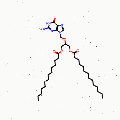 CCCCCCCCCCCCCC(=O)OCC(COC(=O)CCCCCCCCCCCCC)OCn1cnc2c(=O)[nH]c(N)nc21